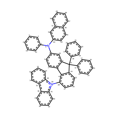 c1ccc(N(c2ccc3c(c2)C(c2ccccc2)(c2ccccc2)c2cccc(-n4c5ccccc5c5ccccc54)c2-3)c2ccc3ccccc3c2)cc1